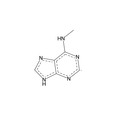 CNc1n[c]nc2[nH]cnc12